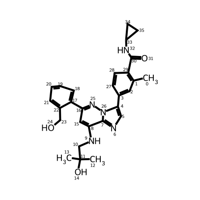 Cc1cc(-c2cnc3c(NCC(C)(C)O)cc(-c4ccccc4CO)nn23)ccc1C(=O)NC1CC1